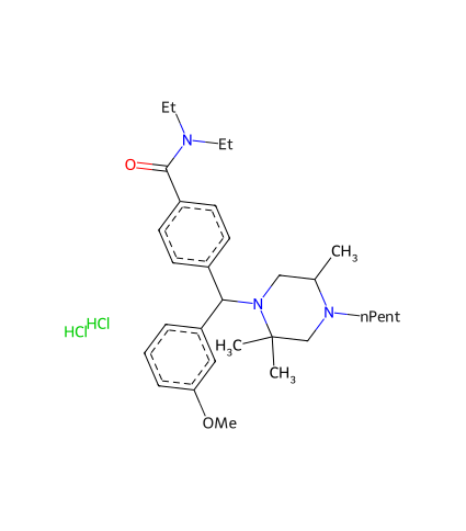 CCCCCN1CC(C)(C)N(C(c2ccc(C(=O)N(CC)CC)cc2)c2cccc(OC)c2)CC1C.Cl.Cl